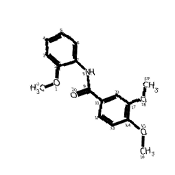 COc1ccccc1NC(=O)c1ccc(OC)c(OC)c1